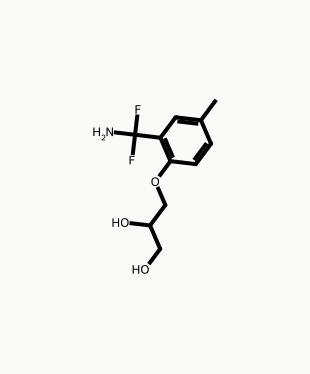 Cc1ccc(OCC(O)CO)c(C(N)(F)F)c1